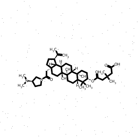 C=C(C)[C@@H]1CC[C@]2(CC(=O)N3CC[C@@H](N(C)C)C3)CC[C@]3(C)[C@H](CC[C@@H]4[C@@]5(C)CC[C@H](OC(=O)CC(C)(C)CC(=O)O)C(C)(C)[C@@H]5CC[C@]43C)[C@@H]12